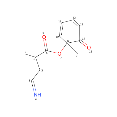 CC(CC=N)C(=O)OC1(C)C=CC=CC1=O